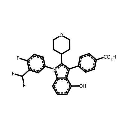 O=C(O)c1ccc(-c2c(C3CCOCC3)n(-c3ccc(F)c(C(F)F)c3)c3cccc(O)c23)cc1